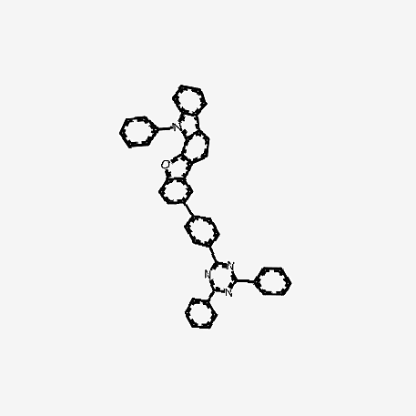 c1ccc(-c2nc(-c3ccccc3)nc(-c3ccc(-c4ccc5oc6c(ccc7c8ccccc8n(-c8ccccc8)c76)c5c4)cc3)n2)cc1